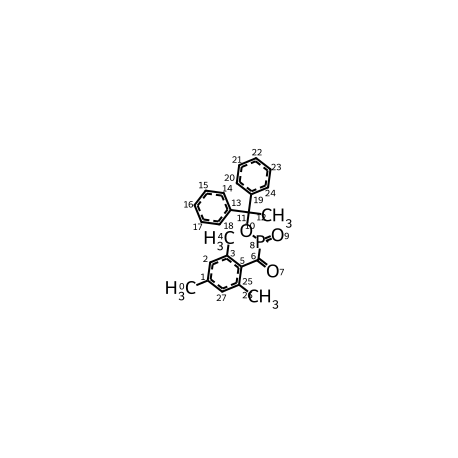 Cc1cc(C)c(C(=O)[P](=O)OC(C)(c2ccccc2)c2ccccc2)c(C)c1